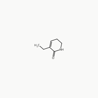 CCC1=CCCNC1=O